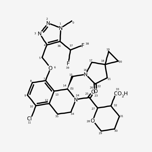 Cn1nnc(COc2ccc(Cl)c3c2[C@@H](CN2CC4(CC4)CC2=O)N(C(=O)C2OCCCC2C(=O)O)CC3)c1C(F)F